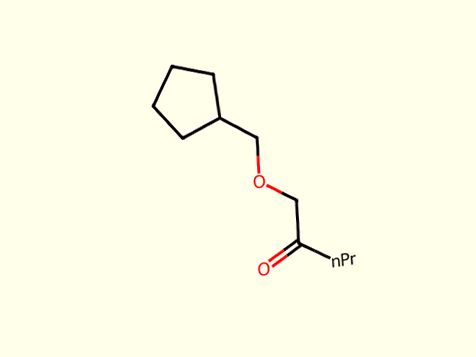 CCCC(=O)COCC1CCCC1